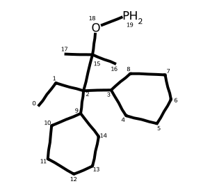 CCC(C1CCCCC1)(C1CCCCC1)C(C)(C)OP